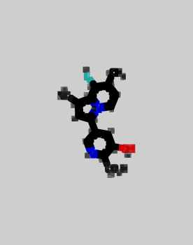 Cc1ccn2c(-c3cnc(C(=O)O)c(O)c3)cc(C#N)c2c1F